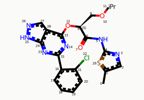 Cc1cnc(NC(=O)[C@H](COC(C)C)Oc2nc(-c3ccccc3Cl)nc3[nH]ncc23)s1